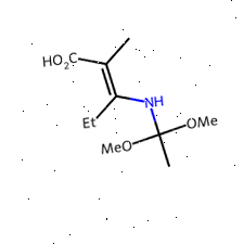 CC/C(NC(C)(OC)OC)=C(/C)C(=O)O